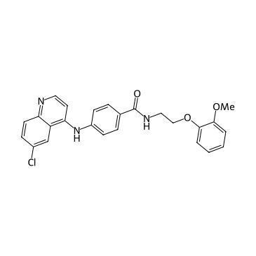 COc1ccccc1OCCNC(=O)c1ccc(Nc2ccnc3ccc(Cl)cc23)cc1